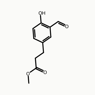 COC(=O)CCc1ccc(O)c(C=O)c1